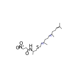 CC(C)=CCC/C(C)=C/CC/C(C)=C/CSCC(C)NC(=O)CC[N+](=O)[O-]